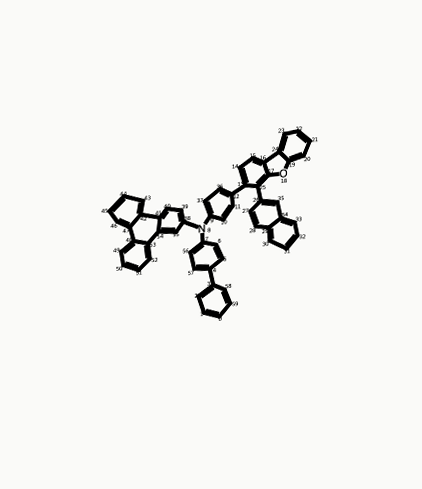 c1ccc(-c2ccc(N(c3ccc(-c4ccc5c(oc6ccccc65)c4-c4ccc5ccccc5c4)cc3)c3ccc4c5ccccc5c5ccccc5c4c3)cc2)cc1